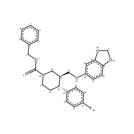 O=C(OCc1ccccc1)N1CC[C@@H](c2ccc(F)cc2)[C@H](COc2ccc3c(c2)OCO3)C1